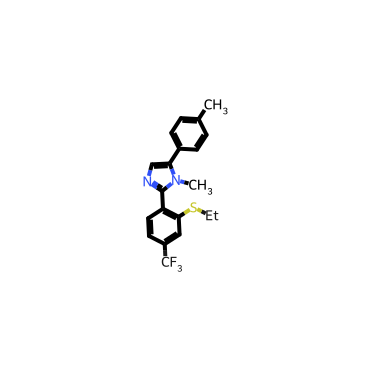 CCSc1cc(C(F)(F)F)ccc1-c1ncc(-c2ccc(C)cc2)n1C